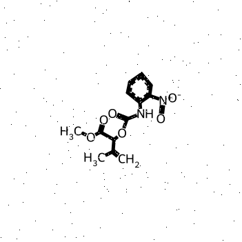 C=C(C)C(OC(=O)Nc1ccccc1[N+](=O)[O-])C(=O)OC